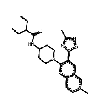 CCC(CC)C(=O)NC1CCN(c2nc3ccc(C)cc3cc2-c2nc(C)no2)CC1